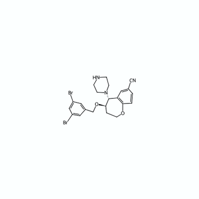 N#Cc1ccc2c(c1)[C@@H](N1CCNCC1)[C@H](OCc1cc(Br)cc(Br)c1)CCO2